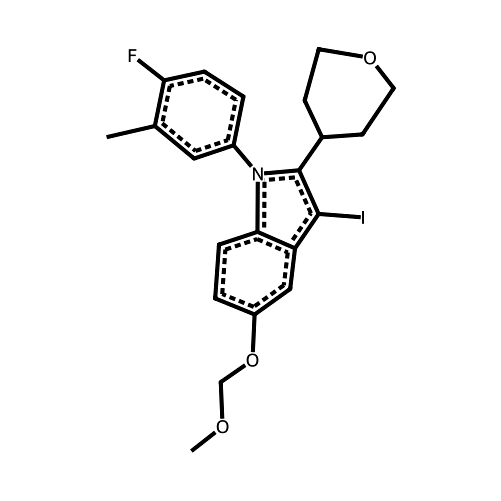 COCOc1ccc2c(c1)c(I)c(C1CCOCC1)n2-c1ccc(F)c(C)c1